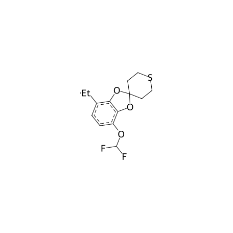 C[CH]c1ccc(OC(F)F)c2c1OC1(CCSCC1)O2